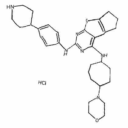 Cl.c1cc(C2CCNCC2)ccc1Nc1nc(NC2CCC(N3CCOCC3)CC2)c2c3c(sc2n1)CCC3